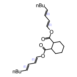 CCCC/C=C/C=C/OC(=O)C1CCCCC1C(=O)O/C=C/C=C/CCCC